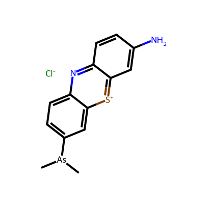 C[As](C)c1ccc2nc3ccc(N)cc3[s+]c2c1.[Cl-]